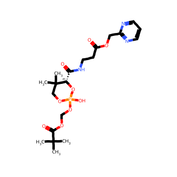 CC(C)(C)C(=O)OCO[P]1(O)OCC(C)(C)[C@H](C(=O)NCCC(=O)OCc2ncccn2)O1